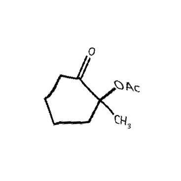 CC(=O)OC1(C)CCCCC1=O